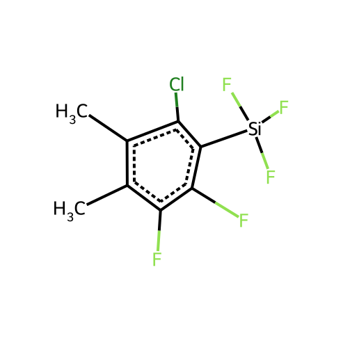 Cc1c(C)c(Cl)c([Si](F)(F)F)c(F)c1F